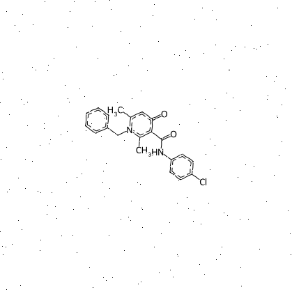 Cc1cc(=O)c(C(=O)Nc2ccc(Cl)cc2)c(C)n1Cc1ccccc1